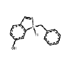 CC[N+]1(Cc2ccccc2)N=Cc2ccc(O)cc21